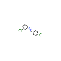 Clc1ccc(/C=N/c2cccc(Cl)c2)cc1